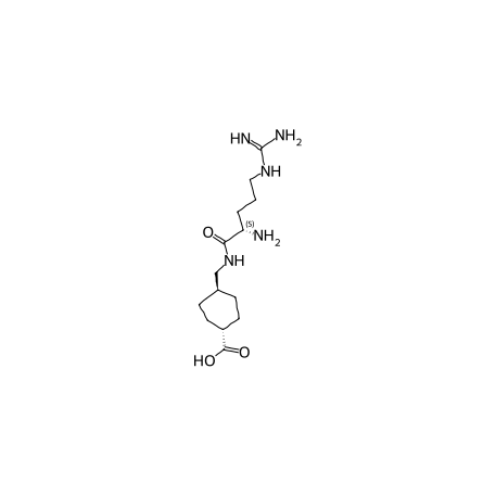 N=C(N)NCCC[C@H](N)C(=O)NC[C@H]1CC[C@H](C(=O)O)CC1